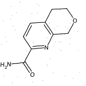 NC(=O)c1ccc2c(n1)COCC2